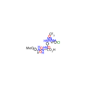 COc1ccc(C(NC(=O)C(=O)NCC[C@H](NC(=O)c2ccc(Nc3nc(NC4(c5ccc(Cl)cc5)CC4)nc(OCC(F)(F)F)n3)cc2)C(=O)O)C2CC2)cc1